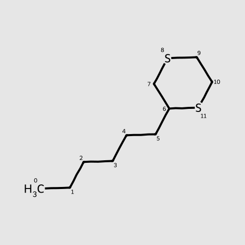 CCCCCCC1CSCCS1